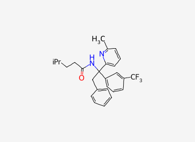 Cc1cccc(C(Cc2ccccc2)(NC(=O)CCC(C)C)c2cccc(C(F)(F)F)c2)n1